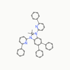 C[Si]1(C)N(c2cccc(-c3ccccc3)n2)c2cc(-c3ccccc3)c(-c3ccccc3)cc2N1c1cccc(-c2ccccc2)n1